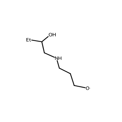 CCC(O)CNCCC[O]